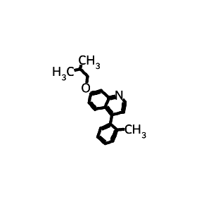 Cc1ccccc1-c1ccnc2cc(OCC(C)C)ccc12